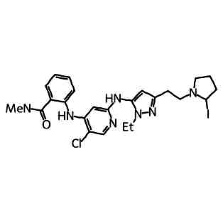 CCn1nc(CCN2CCCC2I)cc1Nc1cc(Nc2ccccc2C(=O)NC)c(Cl)cn1